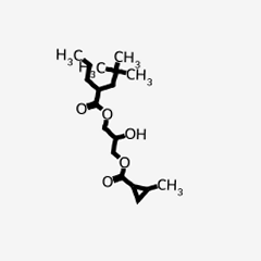 CCCC(CC(C)(C)C)C(=O)OCC(O)COC(=O)C1CC1C